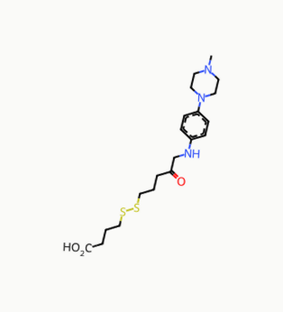 CN1CCN(c2ccc(NCC(=O)CCCSSCCCC(=O)O)cc2)CC1